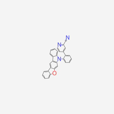 N#Cc1cc(-c2ccccc2-n2c3ccccc3c3cc4c(cc32)oc2ccccc24)ccn1